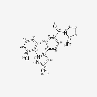 CC(C)C1CCCN1C(=O)c1ccc(-c2cc(C(F)(F)F)nn2-c2ccccc2Cl)cc1